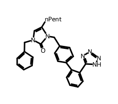 CCCCCc1cn(Cc2ccccc2)c(=O)n1Cc1ccc(-c2ccccc2-c2nnn[nH]2)cc1